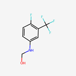 OCNc1ccc(F)c(C(F)(F)F)c1